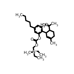 C=C(C)C1CCC(C)=CC1c1c(O)cc(CCCCC)cc1OC(=O)OC[N+](C)(CC)CC